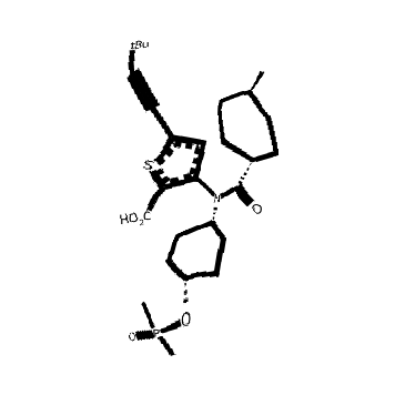 CC(C)(C)C#Cc1cc(N(C(=O)[C@H]2CC[C@H](C)CC2)[C@H]2CC[C@@H](OP(C)(C)=O)CC2)c(C(=O)O)s1